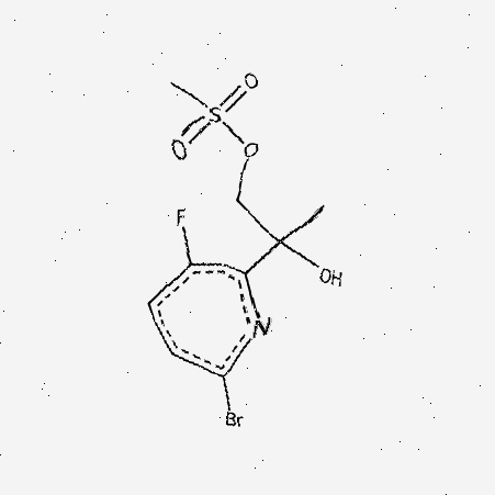 CC(O)(COS(C)(=O)=O)c1nc(Br)ccc1F